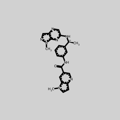 C[C@H](Nc1cnc2cnn(C)c2n1)c1cccc(NC(=O)c2cnc3ccn(C)c3c2)c1